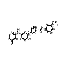 Cc1ccnc(Nc2cccc(-c3cnc(/C=C/c4cccc(C(F)(F)F)c4)o3)c2)c1